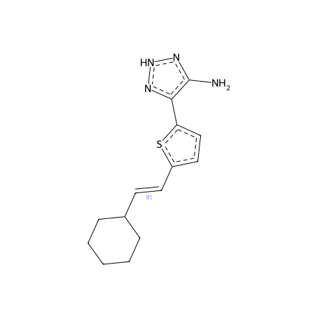 Nc1n[nH]nc1-c1ccc(/C=C/C2CCCCC2)s1